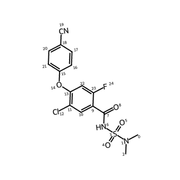 CN(C)S(=O)(=O)NC(=O)c1cc(Cl)c(Oc2ccc(C#N)cc2)cc1F